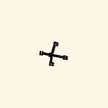 [Li][Si](CC)(CC)CC